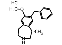 COc1cc2c(cc1Cc1ccccc1)[C@H](C)CNCC2.Cl